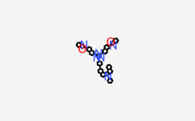 c1ccc(-n2c3ccc4ccccc4c3c3c4cc(-c5ccc(-c6nc(-c7ccc8cc(-c9nc%10ccccc%10o9)ccc8c7)nc(-c7ccc8cc(-c9nc%10ccccc%10o9)ccc8c7)n6)cc5)ccc4ccc32)cc1